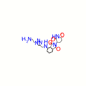 NCCn1cc(CNc2cccc3c2C(=O)N(C2CCC(=O)NC2=O)C3=O)nn1